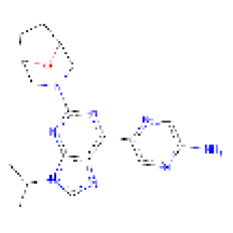 CC(C)n1cnc2c(-c3cnc(N)cn3)nc(N3CC4CCC(C3)O4)nc21